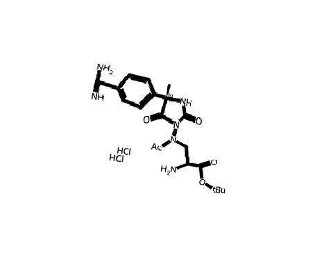 CC(=O)N(CC(N)C(=O)OC(C)(C)C)N1C(=O)N[C@@](C)(c2ccc(C(=N)N)cc2)C1=O.Cl.Cl